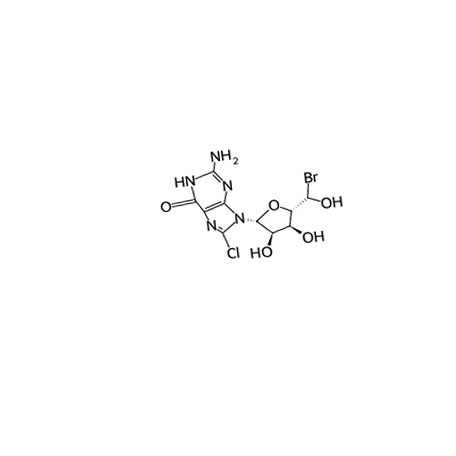 Nc1nc2c(nc(Cl)n2[C@@H]2O[C@H](C(O)Br)[C@@H](O)[C@H]2O)c(=O)[nH]1